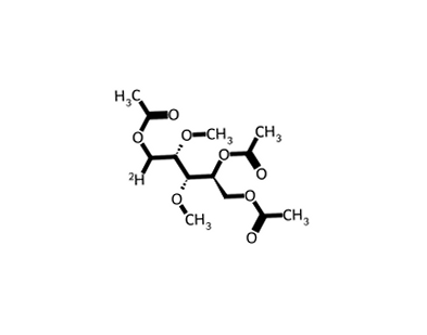 [2H]C(OC(C)=O)[C@H](OC)[C@@H](OC)[C@H](COC(C)=O)OC(C)=O